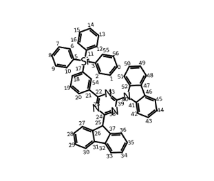 c1ccc([Si](c2ccccc2)(c2ccccc2)c2cccc(-c3nc(C4c5ccccc5-c5ccccc54)nc(-n4c5ccccc5c5ccccc54)n3)c2)cc1